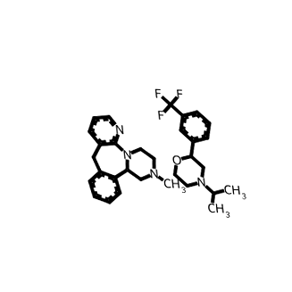 CC(C)N1CCOC(c2cccc(C(F)(F)F)c2)C1.CN1CCN2c3ncccc3Cc3ccccc3C2C1